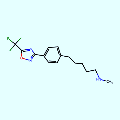 CNCCCCCc1ccc(-c2noc(C(F)(F)F)n2)cc1